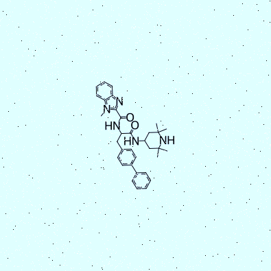 Cn1c(C(=O)NC(Cc2ccc(-c3ccccc3)cc2)C(=O)NC2CC(C)(C)NC(C)(C)C2)nc2ccccc21